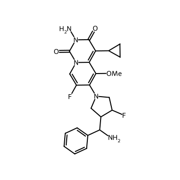 COc1c(N2CC(F)C(C(N)c3ccccc3)C2)c(F)cn2c(=O)n(N)c(=O)c(C3CC3)c12